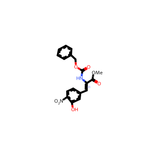 COC(=O)/C(=C/c1ccc([N+](=O)[O-])c(O)c1)NC(=O)OCc1ccccc1